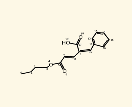 CCCCOC(=O)C=CC(=Cc1ccccc1)C(=O)O